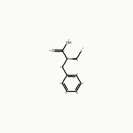 O=C(O)[C@@H](CI)Cc1ccccc1